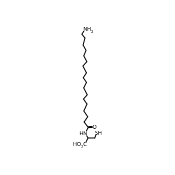 NCCCCCCCCCCCCCCCCCC(=O)NC(CS)C(=O)O